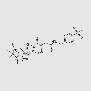 C[C@@H]1[C@H]2C[C@@H](C[C@H]1Nc1cnn(CC(=O)NCc3ccc(S(C)(=O)=O)cc3)c(=O)c1Cl)C2(C)C